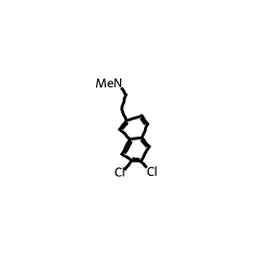 CNCCc1ccc2cc(Cl)c(Cl)cc2c1